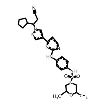 CC1CN(S(=O)(=O)Nc2ccc(Nc3nccc(-c4cnn(C(CC#N)C5CCCC5)c4)n3)cc2)CC(C)O1